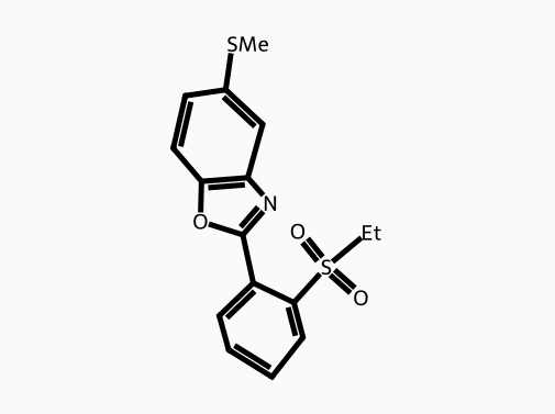 CCS(=O)(=O)c1ccccc1-c1nc2cc(SC)ccc2o1